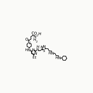 CCc1cc(NC2CCN(C(=O)CC[C@H](N)C(=O)O)CC2)nc(NCc2nnc(CCCNCCCNC3CCCCC3)s2)n1